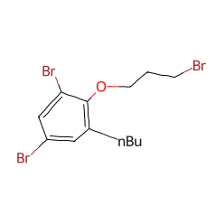 CCCCc1cc(Br)cc(Br)c1OCCCBr